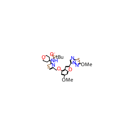 COc1cc(OCc2csc(C3(N[S+]([O-])C(C)(C)C)CCOCC3)n2)c2cc(-c3cnc4sc(OC)nn34)oc2c1